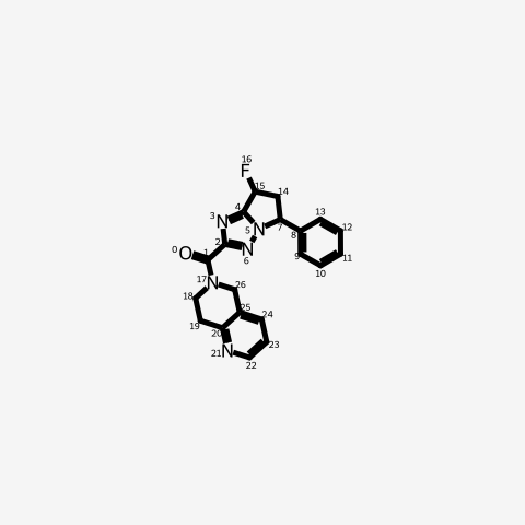 O=C(c1nc2n(n1)C(c1ccccc1)CC2F)N1CCc2ncccc2C1